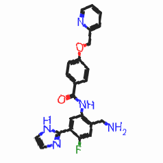 NCc1cc(F)c(-c2ncc[nH]2)cc1NC(=O)c1ccc(OCc2ccccn2)cc1